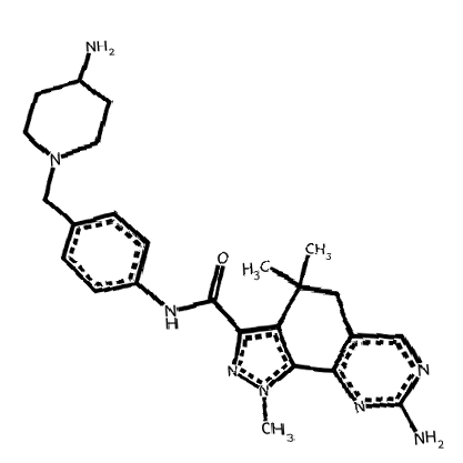 Cn1nc(C(=O)Nc2ccc(CN3CCC(N)CC3)cc2)c2c1-c1nc(N)ncc1CC2(C)C